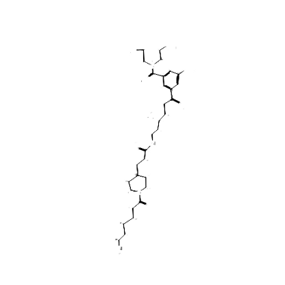 CCCN(CCC)C(=O)c1cc(C)cc(C(=O)CC[C@@H](O)CCNC(=O)CCC2CCN(C(=O)CCCCCN)CC2)c1